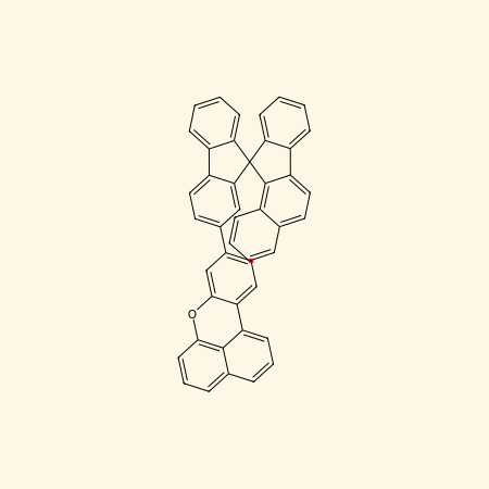 c1ccc2c(c1)-c1ccc(-c3ccc4c(c3)Oc3cccc5cccc-4c35)cc1C21c2ccccc2-c2ccc3ccccc3c21